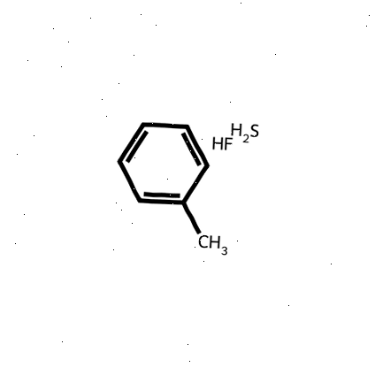 Cc1ccccc1.F.S